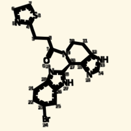 O=C(CCc1nccs1)N1CCc2[nH]cnc2[C@H]1c1nc2ccc(Br)cc2[nH]1